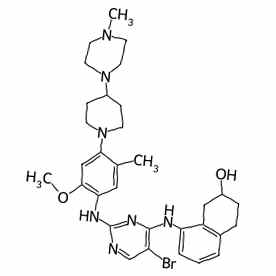 COc1cc(N2CCC(N3CCN(C)CC3)CC2)c(C)cc1Nc1ncc(Br)c(Nc2cccc3c2CC(O)CC3)n1